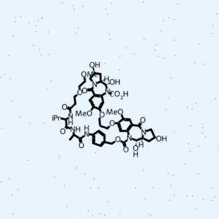 COCCOCCC(=O)NC(C(=O)NC(C)C(=O)Nc1ccc(COC(=O)N2c3cc(OCCCOc4cc5c(cc4OC)C(=O)N4C[C@@H](O)C[C@H]4[C@H](O)N5C(=O)O)c(OC)cc3C(=O)N3C[C@@H](O)C[C@H]3[C@@H]2O)cc1)C(C)C